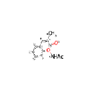 CC(=O)NOC(=O)C(C)=Cc1ccccc1